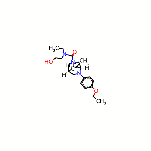 CCOc1ccc(N2C[C@H]3CN(C(=O)N(CC)CCO)C[C@@H]2C(C)(C)C3)cc1